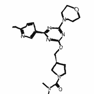 Cc1ccc(-c2nc(OC[C@H]3CCN(C(=O)N(C)C)C3)nc(N3CCOCC3)n2)cn1